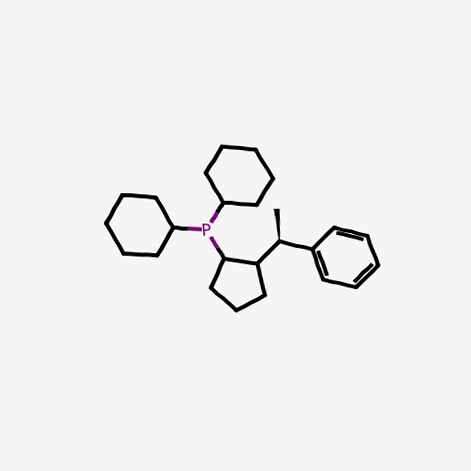 C[C@@H](c1ccccc1)C1CCCC1P(C1CCCCC1)C1CCCCC1